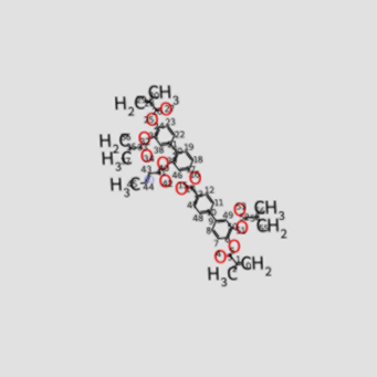 C=C(C)C(=O)Oc1ccc(-c2ccc(C(=O)Oc3ccc(-c4ccc(OC(=O)C(=C)C)c(OC(=O)C(=C)C)c4)c(OC(=O)/C=C/C)c3)cc2)cc1OC(=O)C(=C)C